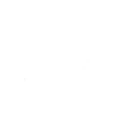 C=C1CCOc2cc(Br)ccc2C1=O